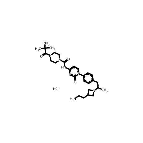 CC(Cc1ccc(-n2ccc(NC(=O)N3CCN(C(=O)C(C)(C)N)CC3)nc2=O)cc1)N1CC(CCN)C1.Cl